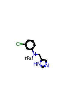 CC(C)(C)N(Cc1cnc[nH]1)c1cccc(Cl)c1